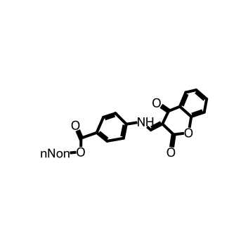 CCCCCCCCCOC(=O)c1ccc(NC=C2C(=O)Oc3ccccc3C2=O)cc1